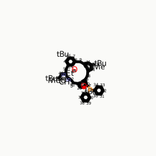 CCOc1c2cc(C(C)(C)C)cc1Cc1cc(C(C)(C)C)cc(c1O[13CH3])Cc1cc(C(C)(C)C)cc(c1OCP(c1ccccc1)c1ccccc1)C/C=C(O[13CH3])/C(=C\C(C)C(C)(C)C)C2